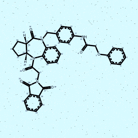 O=C(COc1ccccc1)Nc1ccc(CN2C(=O)[C@H]3CCC[C@H]3N(C(=O)CN3C(=O)c4ccccc4C3=O)c3ccccc32)cc1